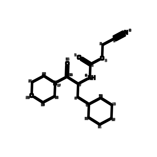 N#CCOC(=O)NC(CC1CCCCC1)C(=O)N1CCOCC1